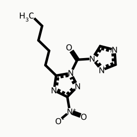 CCCCCc1nc([N+](=O)[O-])nn1C(=O)n1cncn1